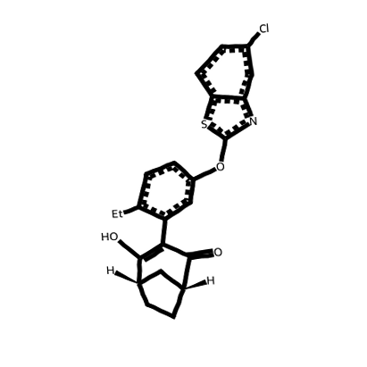 CCc1ccc(Oc2nc3cc(Cl)ccc3s2)cc1C1=C(O)[C@H]2CC[C@H](C2)C1=O